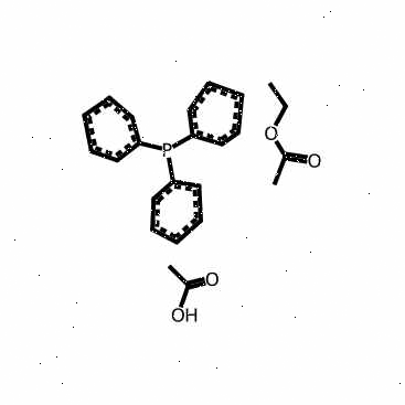 CC(=O)O.CCOC(C)=O.c1ccc(P(c2ccccc2)c2ccccc2)cc1